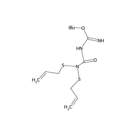 C=CCSN(SCC=C)C(=O)NC(=N)OC(C)CC